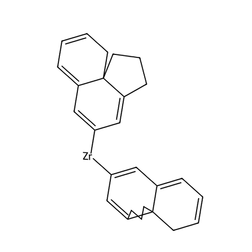 C1=CCC23CCCC2=C[C]([Zr][C]2=CC4=CC=CCC45CCCC5=C2)=CC3=C1